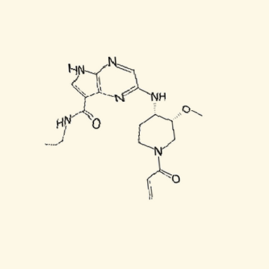 C=CC(=O)N1CC[C@H](Nc2cnc3[nH]cc(C(=O)NCC)c3n2)[C@H](OC)C1